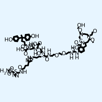 COC1CC(Cc2ccc(NC(=S)NCCOCCOCCNC(=O)[C@H](CCCCn3cc(CCCC(=O)Nc4nnc(S(N)(=O)=O)s4)nn3)NC(=O)C[C@H](NC(=O)C[C@H](NC(=O)CCC(C)(c3ccc(O)cc3)c3ccc(O)cc3)C(=O)O)C(=O)O)cc2)N(CC(=O)O)CCN(COCO)CCN1CC=O